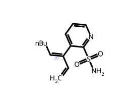 C=C/C(=C/CCCC)c1cccnc1S(N)(=O)=O